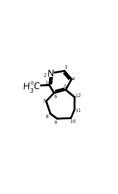 Cc1nccc2c1CCCCCC2